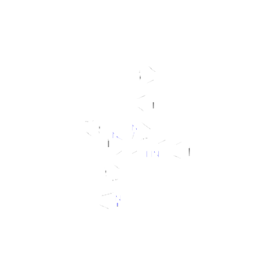 C1=C(c2cc(-c3ccc(-c4ccccc4)cc3)nc3c2ccc2c(-c4ccc(-c5ccccn5)cc4)cc(-c4ccccc4)nc23)NCc2ccccc21